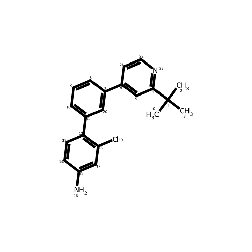 CC(C)(C)c1cc(-c2cccc(-c3ccc(N)cc3Cl)c2)ccn1